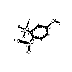 COc1ccc([SH](=O)=O)c([N+](C)(C)C)c1